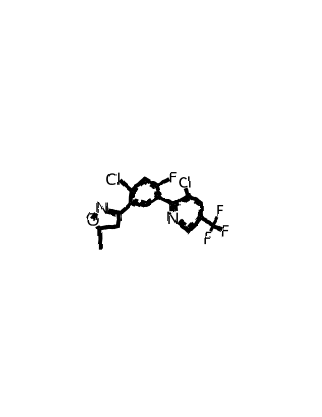 CC1CC(c2cc(-c3ncc(C(F)(F)F)cc3Cl)c(F)cc2Cl)=NO1